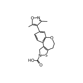 Cc1noc(C)c1-c1ccc2c(c1)OCCC1=C2CN(C(=O)O)S1